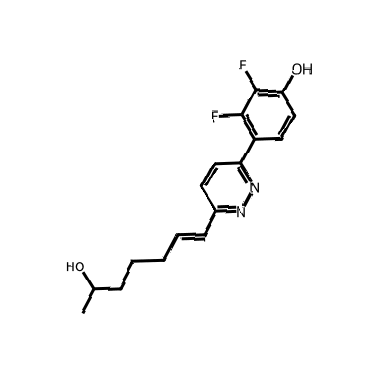 CC(O)CCCC=Cc1ccc(-c2ccc(O)c(F)c2F)nn1